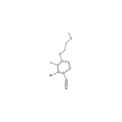 COCCOc1ccc(C#N)c(Br)c1F